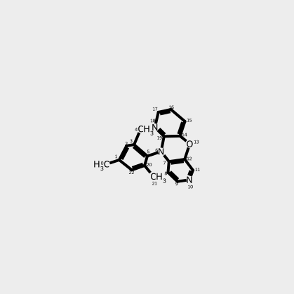 Cc1cc(C)c(N2c3ccncc3Oc3cccnc32)c(C)c1